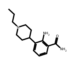 CCCN1CCC(c2cccc(C(N)=O)c2N)CC1